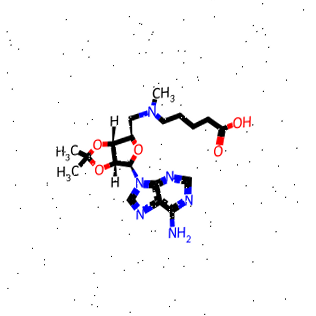 CN(CCCCC(=O)O)C[C@H]1O[C@@H](n2cnc3c(N)ncnc32)[C@@H]2OC(C)(C)O[C@@H]21